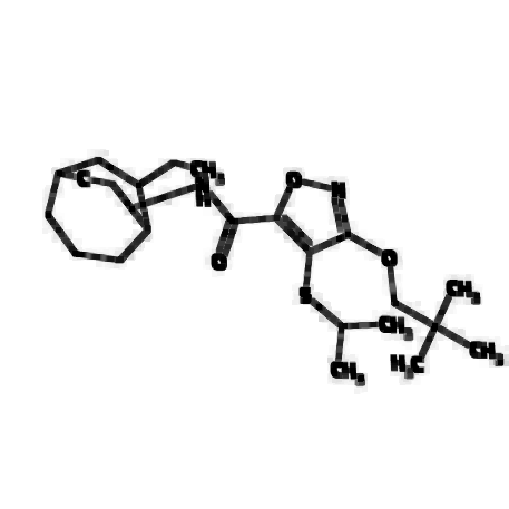 CCC1CC2CCCC1C(NC(=O)c1onc(OCC(C)(C)C)c1SC(C)C)CC2